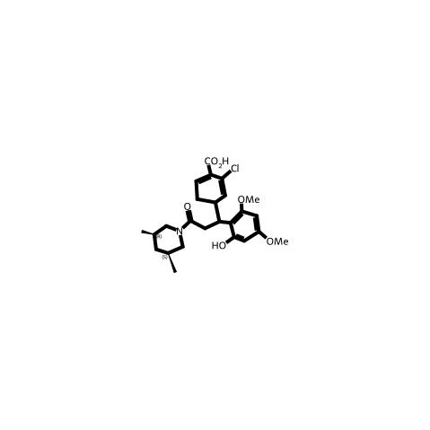 COc1cc(O)c(C(CC(=O)N2C[C@H](C)C[C@H](C)C2)C2C=C(Cl)C(C(=O)O)=CC2)c(OC)c1